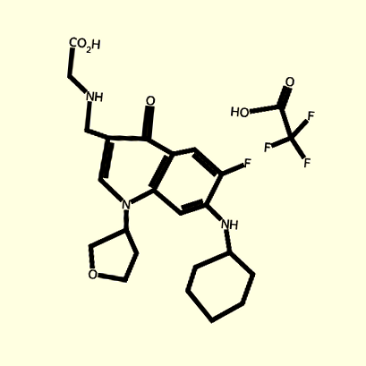 O=C(O)C(F)(F)F.O=C(O)CNCc1cn(C2CCOC2)c2cc(NC3CCCCC3)c(F)cc2c1=O